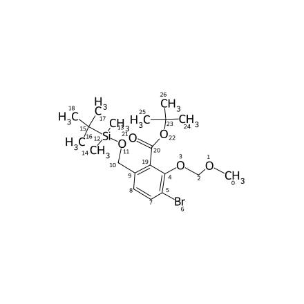 COCOc1c(Br)ccc(CO[Si](C)(C)C(C)(C)C)c1C(=O)OC(C)(C)C